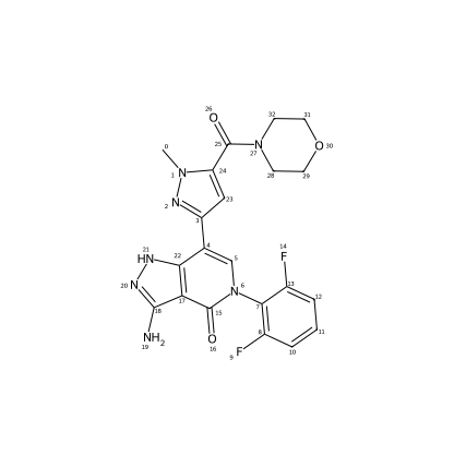 Cn1nc(-c2cn(-c3c(F)cccc3F)c(=O)c3c(N)n[nH]c23)cc1C(=O)N1CCOCC1